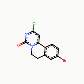 O=c1nc(Cl)cc2n1CCc1cc(Br)ccc1-2